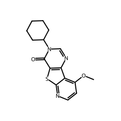 COc1ccnc2sc3c(=O)n(C4CCCCC4)cnc3c12